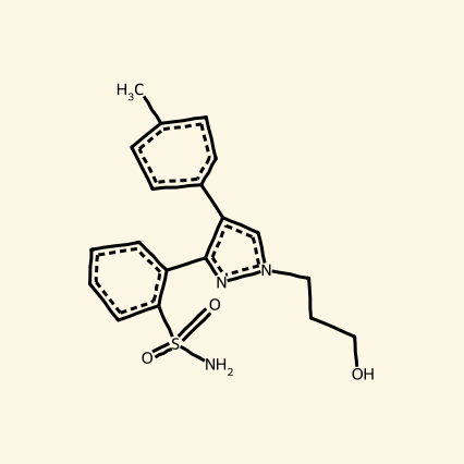 Cc1ccc(-c2cn(CCCO)nc2-c2ccccc2S(N)(=O)=O)cc1